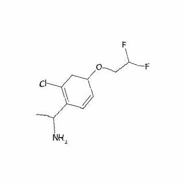 CC(N)C1=C(Cl)CC(OCC(F)F)C=C1